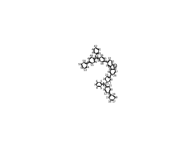 C1=CC(N(c2ccccc2)c2ccc(-c3ccccc3)cc2)CC=C1c1ccc2oc3ccc(-c4ccc(N(c5ccccc5)c5ccc(-c6ccccc6)cc5)cc4)cc3c2c1